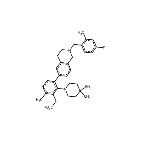 BC1(C)CCN(c2c(-c3ccc4c(c3)CCN(Cc3ccc(F)cc3C)C4)cnc(C)c2CC(=O)O)CC1